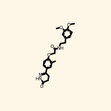 COc1ccc(CCNC(=O)COc2ccc(C3=NNC(=O)CC3)cc2C)cc1OC